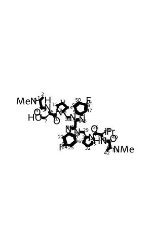 CN[C@H](C)C(=O)N[C@H](CO)C(=O)N1CCC[C@H]1Cn1c(-c2nc3cc(F)ccc3n2C[C@@H]2CCCN2C(=O)[C@H](NC(=O)[C@@H](C)NC)C(C)C)nc2cc(F)ccc21